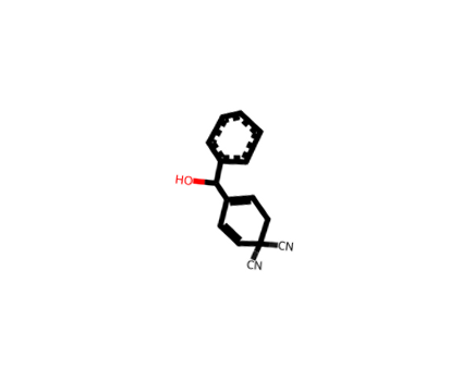 N#CC1(C#N)C=CC(C(O)c2ccccc2)=CC1